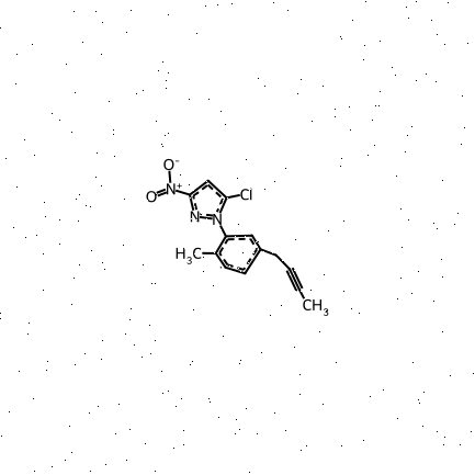 CC#CCc1c[c]c(C)c(-n2nc([N+](=O)[O-])cc2Cl)c1